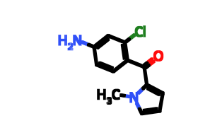 Cn1cccc1C(=O)c1ccc(N)cc1Cl